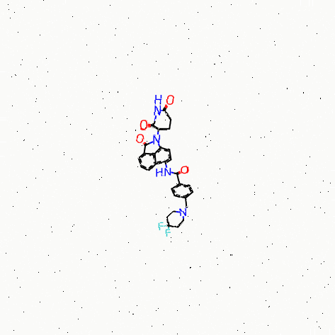 O=C1CCC(N2C(=O)c3cccc4c(NC(=O)c5ccc(CN6CCC(F)(F)CC6)cc5)ccc2c34)C(=O)N1